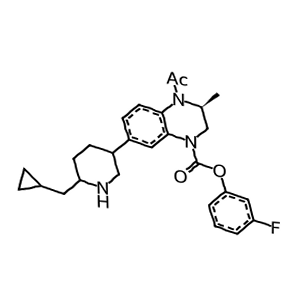 CC(=O)N1c2ccc(C3CCC(CC4CC4)NC3)cc2N(C(=O)Oc2cccc(F)c2)C[C@@H]1C